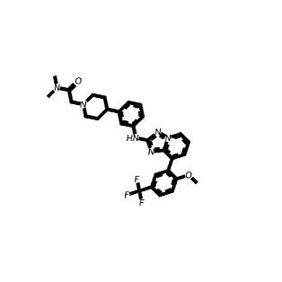 COc1ccc(C(F)(F)F)cc1-c1cccn2nc(Nc3cccc(C4CCN(CC(=O)N(C)C)CC4)c3)nc12